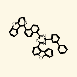 c1ccc(-c2cccc(-c3nc(-c4cccc5c(-c6nccc7oc8ccccc8c67)cccc45)nc(-c4cccc5oc6ccccc6c45)n3)c2)cc1